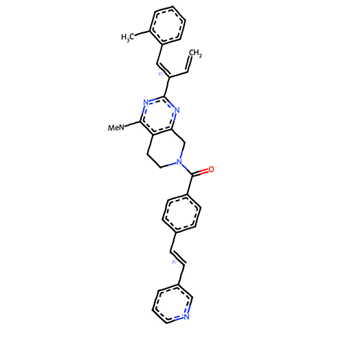 C=C/C(=C\c1ccccc1C)c1nc2c(c(NC)n1)CCN(C(=O)c1ccc(/C=C/c3cccnc3)cc1)C2